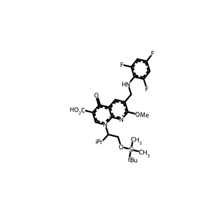 COc1nc2c(cc1CNc1c(F)cc(F)cc1F)c(=O)c(C(=O)O)cn2C(CO[Si](C)(C)C(C)(C)C)C(C)C